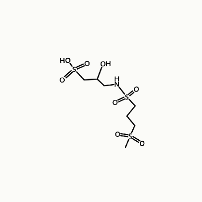 CS(=O)(=O)CCCS(=O)(=O)NCC(O)CS(=O)(=O)O